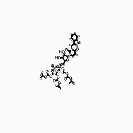 CC(C)OC(=O)OCOP(=O)(OCOC(=O)OC(C)C)OP(=O)(OCOC(=O)OC(C)C)OCC1OC(n2ccc(=O)n(Cc3noc4ccccc34)c2=O)C(O)C1O